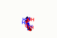 O=C(NC1CCC(Nc2cc(C(=O)NC[C@H](O)CN3CCc4ccccc4C3)ncn2)CC1)/C(=N\O)C1CC1